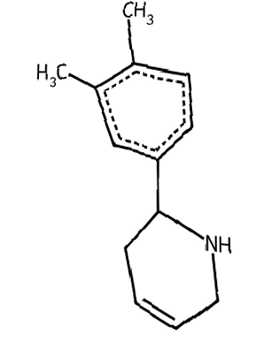 Cc1ccc(C2CC=CCN2)cc1C